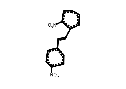 O=[N+]([O-])c1ccc(C=Cc2ccccc2[N+](=O)[O-])cc1